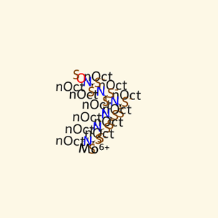 CCCCCCCCN(CCCCCCCC)C(=S)[S-].CCCCCCCCN(CCCCCCCC)C(=S)[S-].CCCCCCCCN(CCCCCCCC)C(=S)[S-].CCCCCCCCN(CCCCCCCC)C(=S)[S-].CCCCCCCCN(CCCCCCCC)C(=S)[S-].CCCCCCCCN(CCCCCCCC)C(=S)[S-].O=S.[Mo+6]